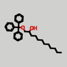 CCCCCCCCCCC(O)COC(c1ccccc1)(c1ccccc1)c1ccccc1